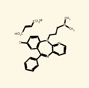 CN(C)CCCN1c2ccc(Cl)cc2C(c2ccccc2)=Nc2cccnc21.O=C(O)C=CC(=O)O